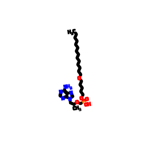 CCCCCCCCCCCCCCOCCCCCOP(=O)(O)CO[C@H](C)Cn1cnc2c(N)ncnc21